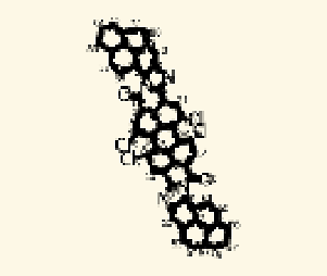 O=c1c2cc(Cl)c3c4c(Cl)cc5c6c(cc(Cl)c(c7c(Cl)cc(c2c37)c2nc3cc7ccc8cccc9ccc(c7c89)c3n12)c46)c(=O)n1c5nc2cc3ccc4cccc5ccc(c3c45)c21